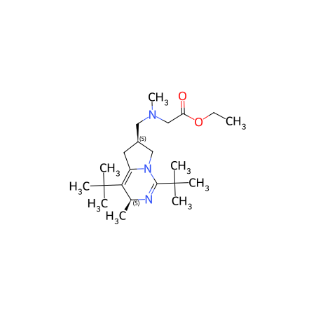 CCOC(=O)CN(C)C[C@@H]1CC2=C(C(C)(C)C)[C@H](C)N=C(C(C)(C)C)N2C1